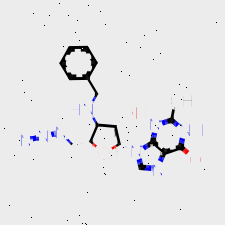 Cc1nc2c(ncn2[C@@H]2O[C@H](CN=[N+]=[N-])C(NCc3ccccc3)[C@@H]2O)c(=O)[nH]1